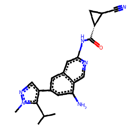 CC(C)c1c(-c2cc(N)c3cnc(NC(=O)[C@@H]4CC4C#N)cc3c2)cnn1C